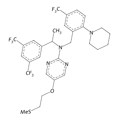 CSCCOc1cnc(N(Cc2cc(C(F)(F)F)ccc2N2CCCCC2)C(C)c2cc(C(F)(F)F)cc(C(F)(F)F)c2)nc1